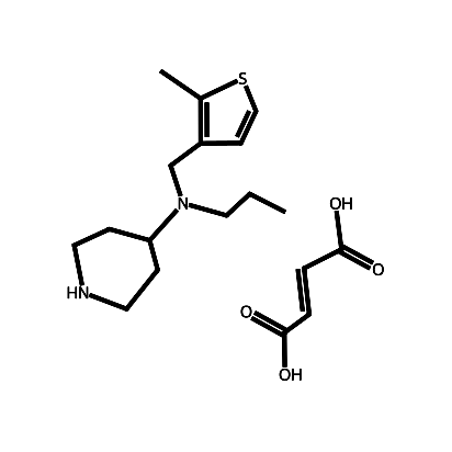 CCCN(Cc1ccsc1C)C1CCNCC1.O=C(O)C=CC(=O)O